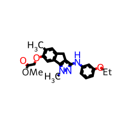 CCOc1cccc(Nc2nn(C)c3c2Cc2cc(C)c(OCC(=O)OC)cc2-3)c1